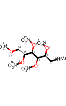 CNC[C@H](O[N+](=O)[O-])[C@@H](O[N+](=O)[O-])[C@H](O[N+](=O)[O-])[C@@H](CO[N+](=O)[O-])O[N+](=O)[O-]